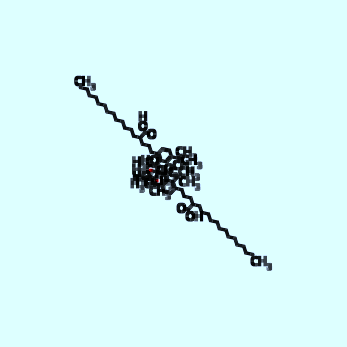 CCCCCCCCCCCCCCC(CCCc1ccc(C(C)(C)C)c(OC(c2c(C(C)(C)C)ccc(CCCC(CCCCCCCCCCCCCC)C(=O)O)c2C(C)(C)C)C(CO)(CO)CO)c1C(C)(C)C)C(=O)O